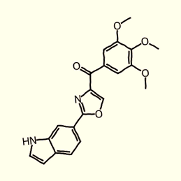 COc1cc(C(=O)c2coc(-c3ccc4cc[nH]c4c3)n2)cc(OC)c1OC